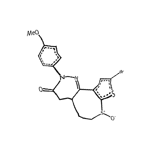 COc1ccc(N2N=C3c4cc(Br)sc4[S+]([O-])CCC3CC2=O)cc1